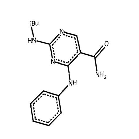 CCC(C)Nc1ncc(C(N)=O)c(Nc2ccccc2)n1